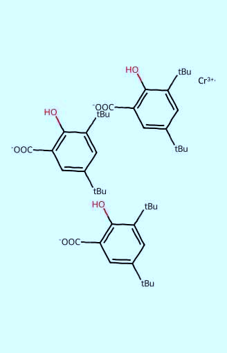 CC(C)(C)c1cc(C(=O)[O-])c(O)c(C(C)(C)C)c1.CC(C)(C)c1cc(C(=O)[O-])c(O)c(C(C)(C)C)c1.CC(C)(C)c1cc(C(=O)[O-])c(O)c(C(C)(C)C)c1.[Cr+3]